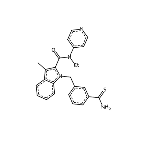 CCN(C(=O)c1c(C)c2ccccc2n1Cc1cccc(C(N)=S)c1)c1ccncc1